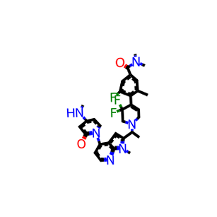 CNc1ccn(-c2ccnc3c2cc(C(C)N2CC=C(c4c(C)cc(C(=O)N(C)C)cc4F)C(F)(F)C2)n3C)c(=O)c1